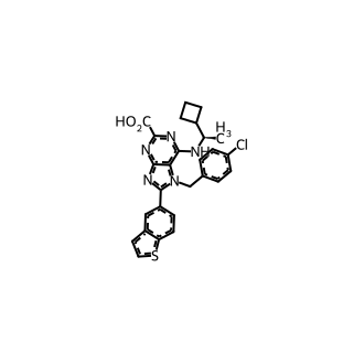 C[C@@H](Nc1nc(C(=O)O)nc2nc(-c3ccc4sccc4c3)n(Cc3ccc(Cl)cc3)c12)C1CCC1